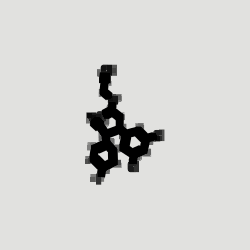 C#CCOC(=O)CC(c1cc(Cl)cc(Cl)c1)C(C#N)c1ccc(F)cc1